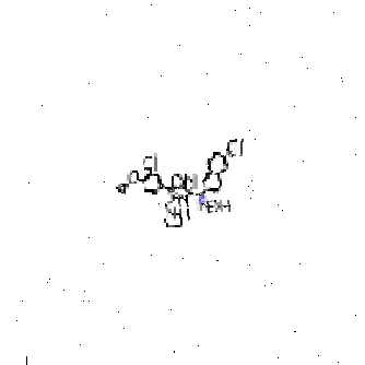 O=C(N[C@H](CN1CCCC1)[C@H](O)c1ccc(OC2CC2)c(Cl)c1)/C(=N/O)c1ccc2cc(Cl)ccc2c1